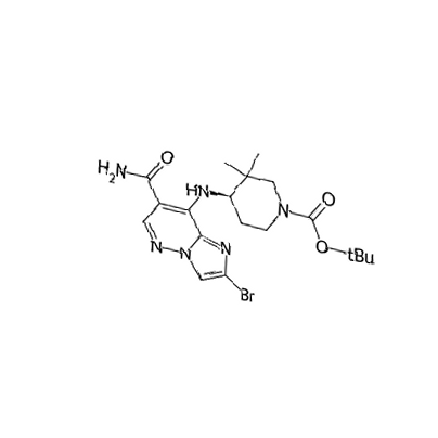 CC(C)(C)OC(=O)N1CC[C@@H](Nc2c(C(N)=O)cnn3cc(Br)nc23)C(C)(C)C1